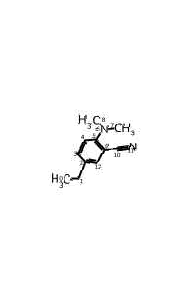 CCc1ccc(N(C)C)c(C#N)c1